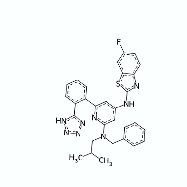 CC(C)CN(Cc1ccccc1)c1cc(Nc2nc3ccc(F)cc3s2)cc(-c2ccccc2-c2nnn[nH]2)n1